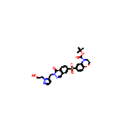 CC(C)(C)OC(=O)N1CCOc2ccc(S(=O)(=O)c3ccc4c(=O)n(Cc5ccnn5CCO)ncc4c3)cc21